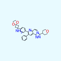 NC1(c2ccc(-c3nc4ccn5c(C6CCOCC6)nnc5c4cc3-c3ccccc3)cc2)CC2(C1)OCCO2